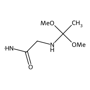 COC(C)(NCC([NH])=O)OC